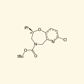 CC(C)[C@@H]1CN(C(=O)OC(C)(C)C)Cc2nc(Cl)ccc2O1